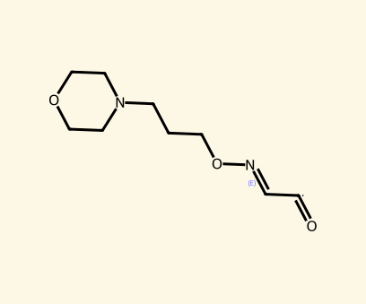 O=[C]/C=N/OCCCN1CCOCC1